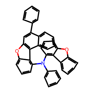 c1ccc(-c2cc3oc4cccc(N(c5ccccc5)c5cccc6oc7ccccc7c56)c4c3c3ccccc23)cc1